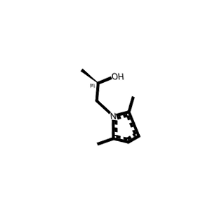 Cc1ccc(C)n1C[C@@H](C)O